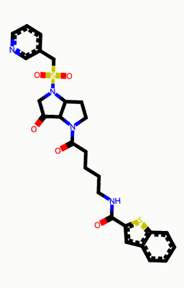 O=C(NCCCCC(=O)N1CCC2C1C(=O)CN2S(=O)(=O)Cc1cccnc1)c1cc2ccccc2s1